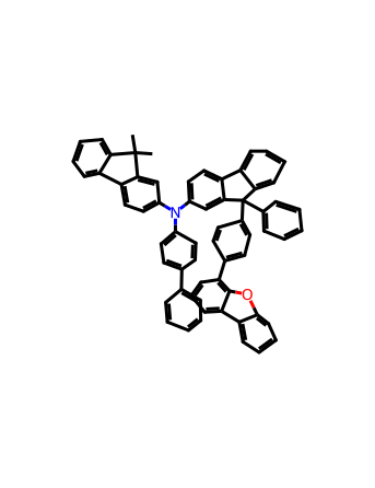 CC1(C)c2ccccc2-c2ccc(N(c3ccc(-c4ccccc4)cc3)c3ccc4c(c3)C(c3ccccc3)(c3ccc(-c5cccc6c5oc5ccccc56)cc3)c3ccccc3-4)cc21